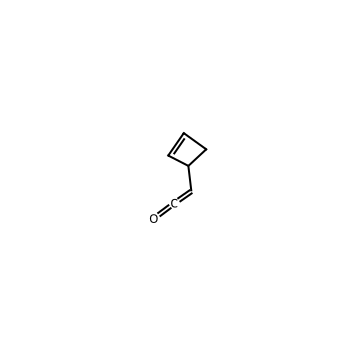 O=C=CC1C=CC1